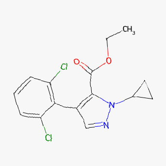 CCOC(=O)c1c(-c2c(Cl)cccc2Cl)cnn1C1CC1